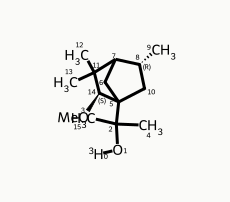 [3H]OC(C)(C)C12CC([C@H](C)C1)C(C)(C)[C@@H]2OC